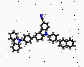 N#Cc1ccc2c(c1)c1cc(-c3ccc(-n4c5ccccc5c5ccccc54)cc3)ccc1n2-c1ccc(-c2ccc3ccccc3c2)cc1